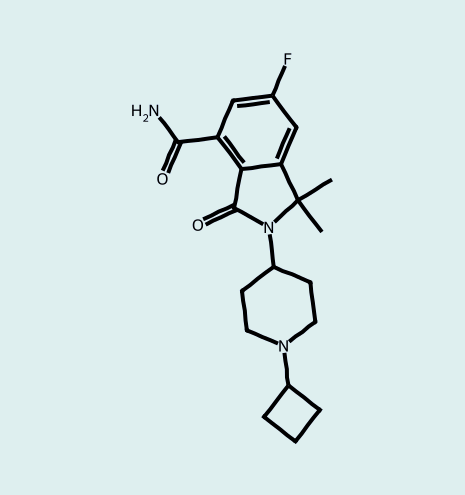 CC1(C)c2cc(F)cc(C(N)=O)c2C(=O)N1C1CCN(C2CCC2)CC1